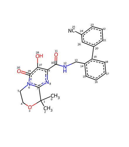 CC1(C)OCCn2c1nc(C(=O)NCc1ccccc1-c1cccc(C#N)c1)c(O)c2=O